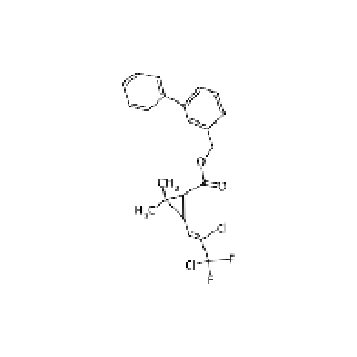 CC1(C)C(C=C(Cl)C(F)(F)Cl)C1C(=O)OCc1cccc(-c2ccccc2)c1